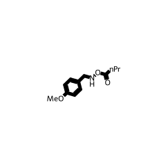 CCCC(=O)ONCc1ccc(OC)cc1